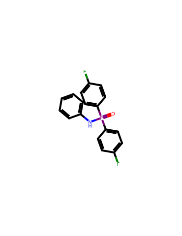 O=P(Nc1ccccc1)(c1ccc(F)cc1)c1ccc(F)cc1